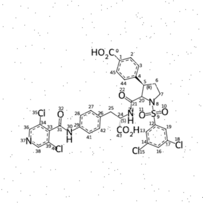 O=C(O)c1ccc([C@H]2CCN(S(=O)(=O)c3cc(Cl)cc(Cl)c3)C2C(=O)N[C@@H](Cc2ccc(NC(=O)c3c(Cl)cncc3Cl)cc2)C(=O)O)cc1